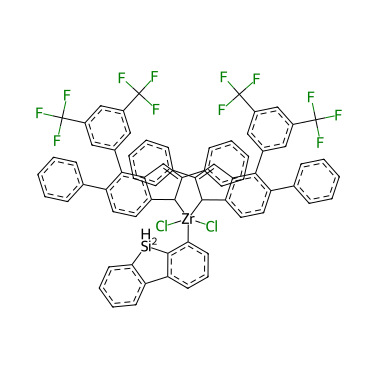 FC(F)(F)c1cc(-c2c(-c3ccccc3)ccc3c2C=C(c2ccccc2)[CH]3[Zr]([Cl])([Cl])([c]2cccc3c2[SiH2]c2ccccc2-3)[CH]2C(c3ccccc3)=Cc3c2ccc(-c2ccccc2)c3-c2cc(C(F)(F)F)cc(C(F)(F)F)c2)cc(C(F)(F)F)c1